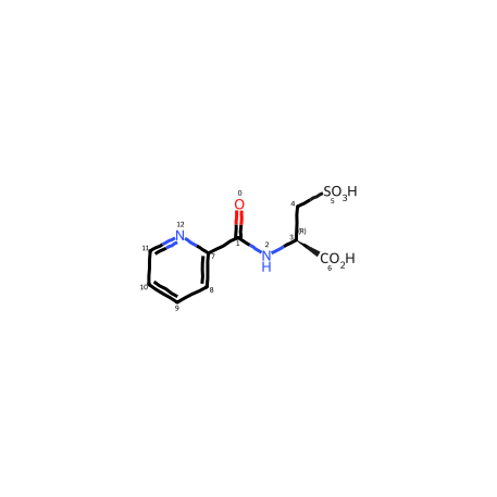 O=C(N[C@@H](CS(=O)(=O)O)C(=O)O)c1ccccn1